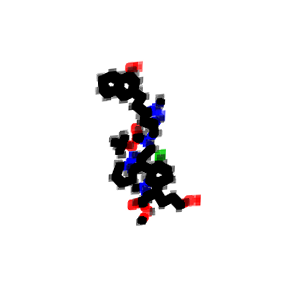 COC(=O)c1c(CCCO)c2ccc(Cl)c(-c3c(CN(Cc4cc(CCc5cc(O)c6ccccc6c5)n(C)n4)C(=O)OC(C)(C)C)nn4c3CCCC4)c2n1C